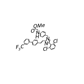 COC(=O)CNc1ccc(Cn2cc(-c3c(Cl)cccc3Cl)nc2C=Cc2ccc(-c3cccc(C(F)(F)F)c3)cc2)cc1